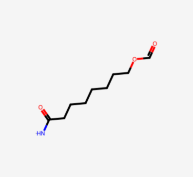 [NH]C(=O)CCCCCCCOC=O